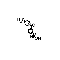 CN1CCN(C(=O)c2cccc(OBO)c2)CC1